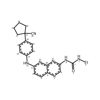 CCNC(=O)Nc1cnc2ccc(Nc3ccc(C4(C#N)CCCC4)cc3)nc2n1